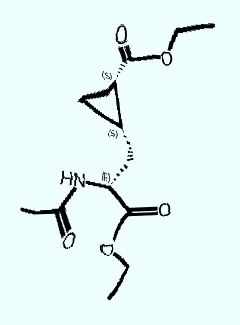 CCOC(=O)[C@H]1C[C@H]1C[C@@H](NC(C)=O)C(=O)OCC